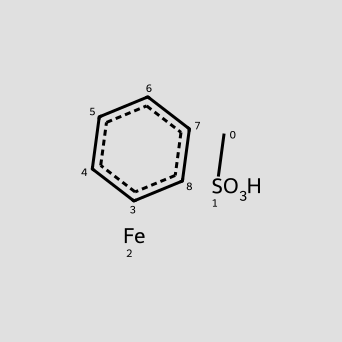 CS(=O)(=O)O.[Fe].c1ccccc1